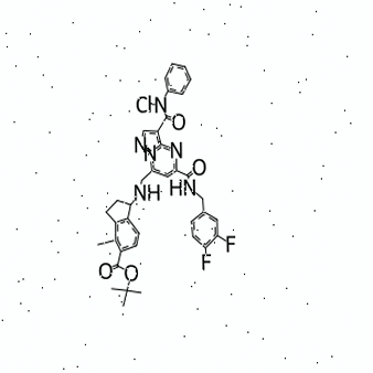 Cc1c(C(=O)OC(C)(C)C)ccc2c1CCC2NCc1cc(C(=O)NCc2ccc(F)c(F)c2)nc2c(C(=O)N(Cl)c3ccccc3)cnn12